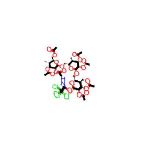 CC(=O)OC[C@H]1O[C@@H](OC[C@H]2O[C@@H](OC[C@H]3OC(OC(=N)C(Cl)(Cl)Cl)[C@H](OC(C)=O)[C@@H](OC(C)=O)[C@@H]3C)[C@H](OC(C)=O)[C@@H](OC(C)=O)[C@@H]2C)C(OC(C)=O)[C@@H](OC(C)=O)[C@@H]1C